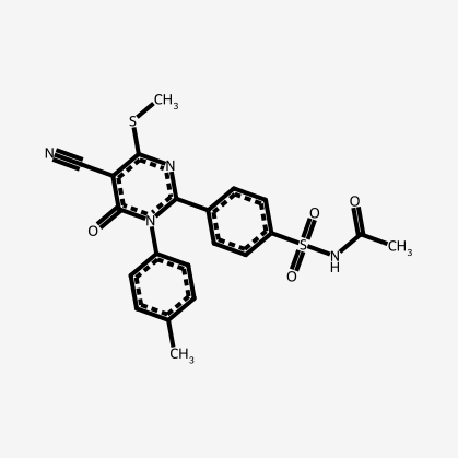 CSc1nc(-c2ccc(S(=O)(=O)NC(C)=O)cc2)n(-c2ccc(C)cc2)c(=O)c1C#N